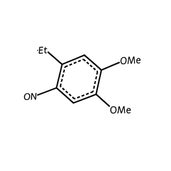 C[CH]c1cc(OC)c(OC)cc1N=O